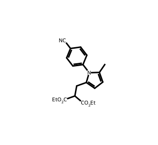 CCOC(=O)C(Cc1ccc(C)n1-c1ccc(C#N)cc1)C(=O)OCC